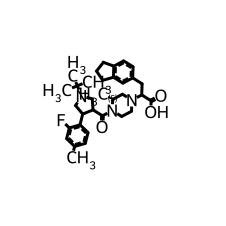 Cc1ccc(C2CN(C(C)(C)C)CC2C(=O)N2CCN(C(Cc3ccc4c(c3)CCC4)C(=O)O)C[C@@H]2C)c(F)c1